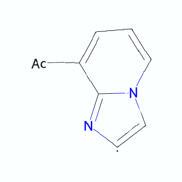 CC(=O)c1cccn2c[c]nc12